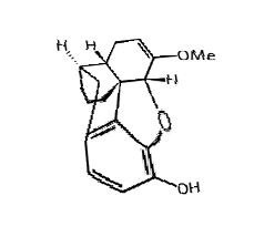 COC1=CC[C@H]2[C@@H]3CCC[C@@]24c2c(ccc(O)c2O[C@@H]14)C3